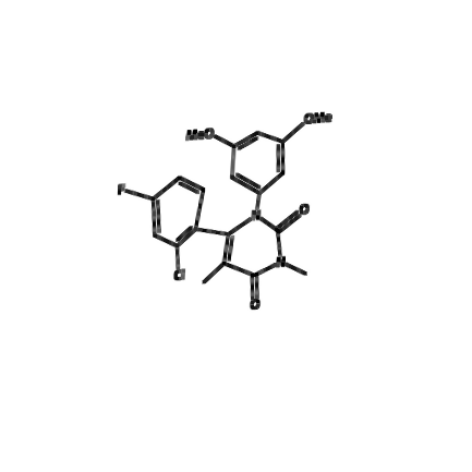 COc1cc(OC)cc(-n2c(-c3ccc(F)cc3Cl)c(C)c(=O)n(C)c2=O)c1